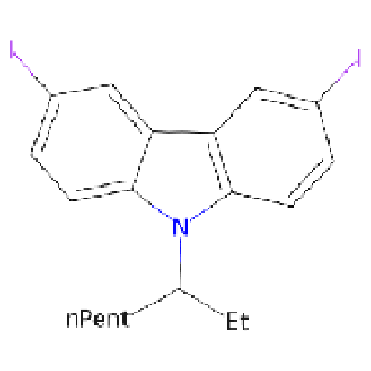 CCCCCC(CC)n1c2ccc(I)cc2c2cc(I)ccc21